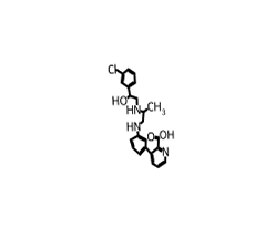 CC(CNc1cccc(-c2cccnc2C(=O)O)c1)NCC(O)c1cccc(Cl)c1